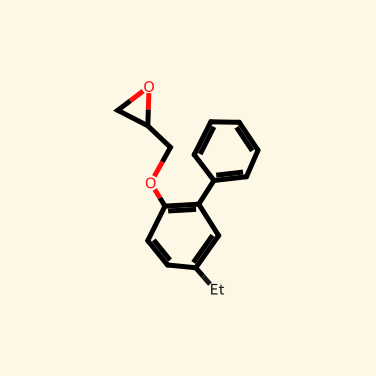 CCc1ccc(OCC2CO2)c(-c2ccccc2)c1